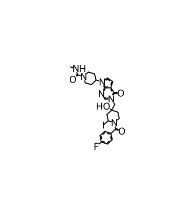 CNC(=O)N1CCC(n2ccc3c(=O)n(CC4(O)CCN(C(=O)c5ccc(F)cc5)C(I)C4)cnc32)CC1